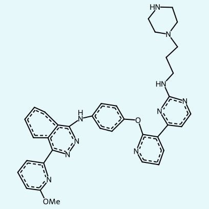 COc1cccc(-c2nnc(Nc3ccc(Oc4ncccc4-c4ccnc(NCCCN5CCNCC5)n4)cc3)c3ccccc23)n1